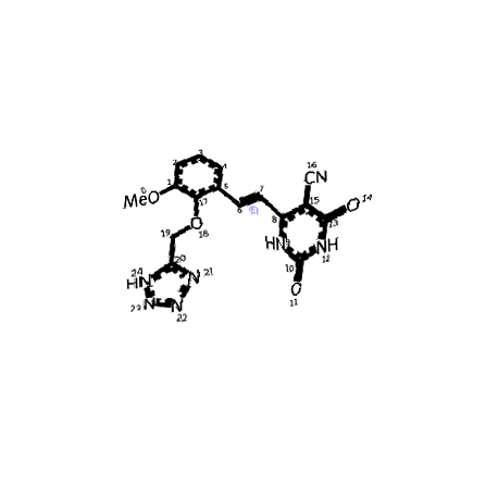 COc1cccc(/C=C/c2[nH]c(=O)[nH]c(=O)c2C#N)c1OCc1nnn[nH]1